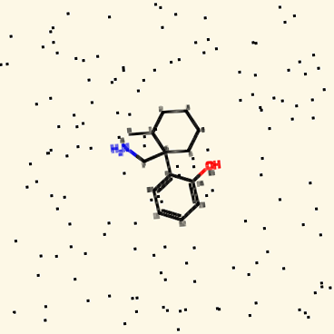 CC1CCCCC1(CN)c1ccccc1O